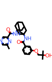 Cc1cncc(C(=O)NC23CC4CC(CC(NC(=O)c5cccc(OCC(C)(C)O)c5)(C4)C2)C3)n1